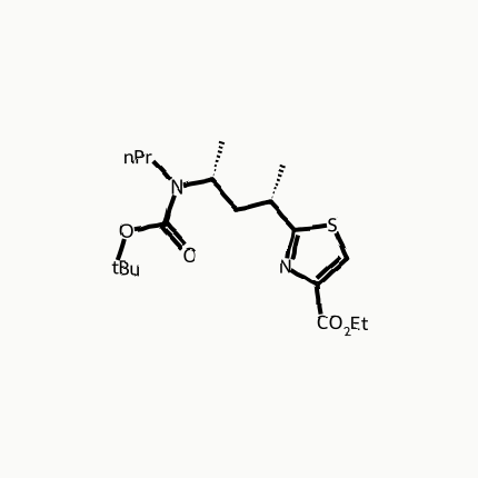 CCCN(C(=O)OC(C)(C)C)[C@H](C)C[C@H](C)c1nc(C(=O)OCC)cs1